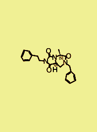 C[C@H]1C(=O)N(Cc2ccccc2)C[C@H]2C(=O)N(CCc3ccccc3)C(=O)N12